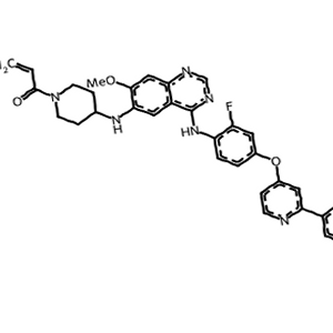 C=CC(=O)N1CCC(Nc2cc3c(Nc4ccc(Oc5ccnc(-c6ccccc6)c5)cc4F)ncnc3cc2OC)CC1